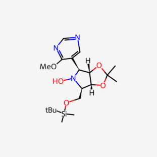 COc1ncncc1[C@H]1[C@@H]2OC(C)(C)O[C@@H]2[C@@H](CO[Si](C)(C)C(C)(C)C)N1O